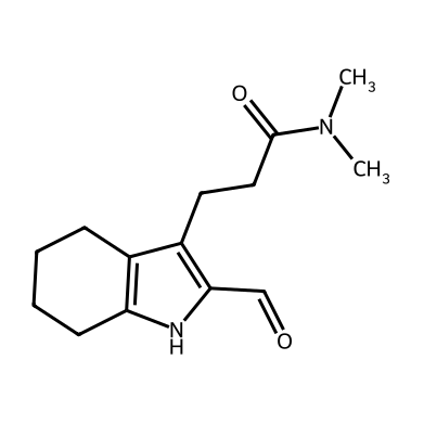 CN(C)C(=O)CCc1c(C=O)[nH]c2c1CCCC2